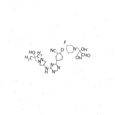 CC(C)(O)Cn1cc(Nc2ncnc(-c3ccc(O[C@H]4CCN(C[C@@](O)(C=O)CO)C[C@H]4F)c(C#N)c3)n2)cn1